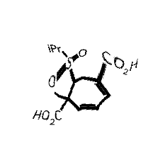 CC(C)S(=O)(=O)C1C(C(=O)O)=CC=CC1(C)C(=O)O